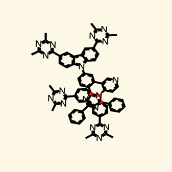 Cc1nc(C)nc(-c2ccc3c(c2)c2cc(-c4nc(C)nc(C)n4)ccc2n3-c2ccc(-c3nc(-c4ccccc4)nc(-c4ccccc4)n3)c(-c3cnccc3-n3c4ccc(-c5nc(C)nc(C)n5)cc4c4cc(-c5nc(C)nc(C)n5)ccc43)c2)n1